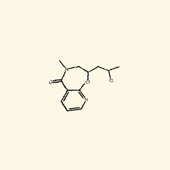 CC(Cl)CC1CN(C)C(=O)c2cccnc2O1